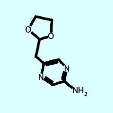 Nc1cnc(CC2OCCO2)cn1